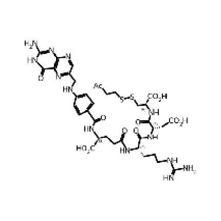 CC(=O)CCSSC[C@H](NC(=O)[C@H](CC(=O)O)NC(=O)[C@H](CCCNC(=N)N)NC(=O)CC[C@H](NC(=O)c1ccc(NCc2cnc3nc(N)[nH]c(=O)c3n2)cc1)C(=O)O)C(=O)O